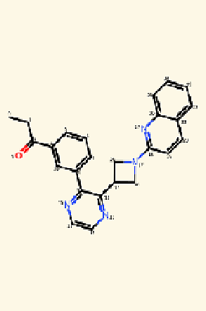 CCC(=O)c1cccc(-c2nccnc2C2CN(c3ccc4ccccc4n3)C2)c1